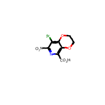 O=C(O)c1nc([N+](=O)[O-])c(Br)c2c1OCCO2